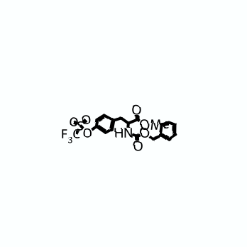 COC(=O)C(Cc1ccc(OS(=O)(=O)C(F)(F)F)cc1)NC(=O)OCc1ccccc1